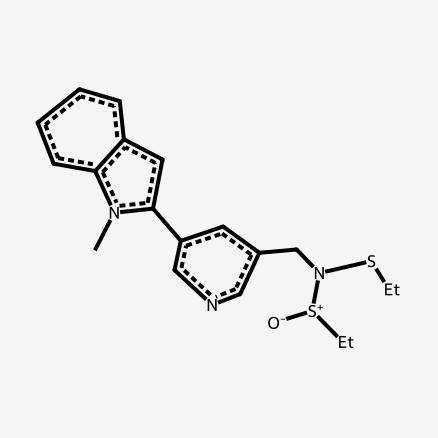 CCSN(Cc1cncc(-c2cc3ccccc3n2C)c1)[S+]([O-])CC